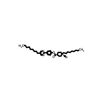 CCCCCCCCCc1cnc(-c2ccc(OC(=O)[C@H]3CC[C@@](C#N)(CCCCCCCCC)CC3)cc2)nc1